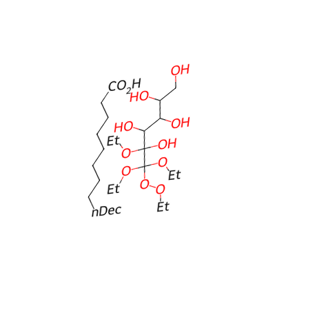 CCCCCCCCCCCCCCCCCC(=O)O.CCOOC(OCC)(OCC)C(O)(OCC)C(O)C(O)C(O)CO